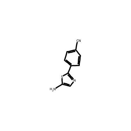 N#Cc1ccc(-c2ncc(N)s2)cc1